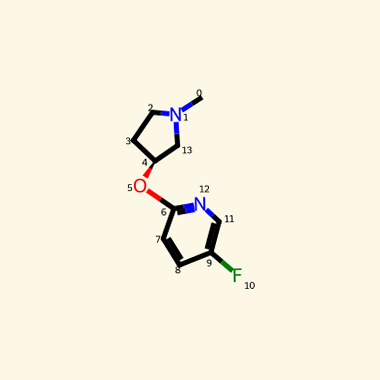 CN1CC[C@H](Oc2ccc(F)cn2)C1